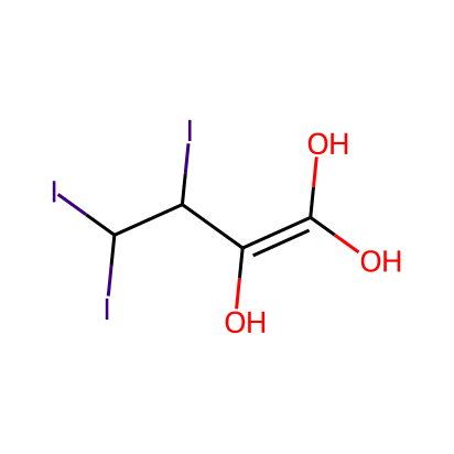 OC(O)=C(O)C(I)C(I)I